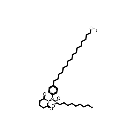 CCCCCCCCCCCCCCCCCc1ccc(N(N2C(=O)CCCC2=O)S(=O)(=O)CCCCCCCCF)cc1